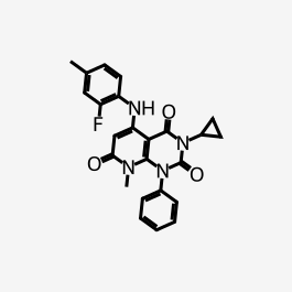 Cc1ccc(Nc2cc(=O)n(C)c3c2c(=O)n(C2CC2)c(=O)n3-c2ccccc2)c(F)c1